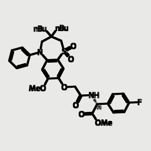 CCCCC1(CCCC)CN(c2ccccc2)c2cc(OC)c(OCC(=O)N[C@@H](C(=O)OC)c3ccc(F)cc3)cc2S(=O)(=O)C1